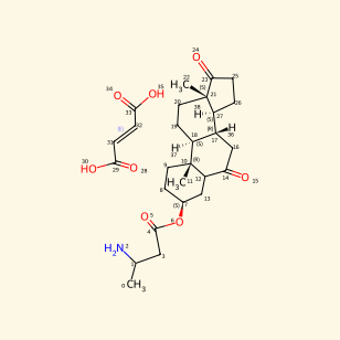 CC(N)CC(=O)O[C@H]1CC[C@@]2(C)C(C1)C(=O)C[C@@H]1[C@@H]2CC[C@]2(C)C(=O)CC[C@@H]12.O=C(O)/C=C/C(=O)O